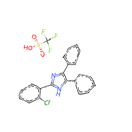 Clc1ccccc1-c1nc(-c2ccccc2)c(-c2ccccc2)[nH]1.O=S(=O)(O)C(F)(F)F